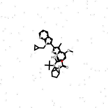 COc1cc(C(=O)N2CC3CCC2[C@@H]3N(C(=O)O)C(C)(C)C)cn2nc(-c3cc4cccnc4n3CC3CC3)c(C)c12